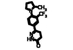 CC1CCCN1c1ccc(C2=NNC(=O)CC2)cc1C(F)(F)F